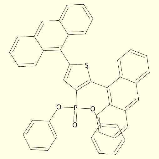 O=P(Oc1ccccc1)(Oc1ccccc1)c1cc(-c2c3ccccc3cc3ccccc23)sc1-c1c2ccccc2cc2ccccc12